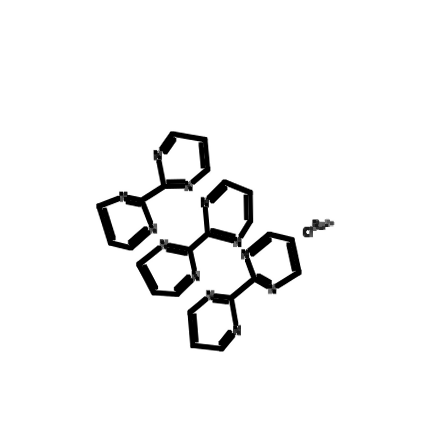 [Cl-].[Ru+2].c1cnc(-c2ncccn2)nc1.c1cnc(-c2ncccn2)nc1.c1cnc(-c2ncccn2)nc1